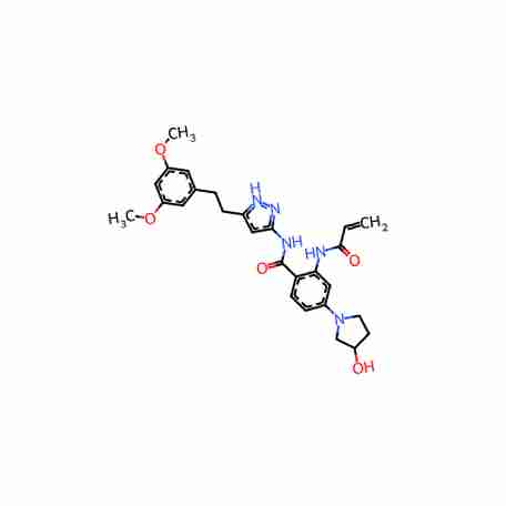 C=CC(=O)Nc1cc(N2CCC(O)C2)ccc1C(=O)Nc1cc(CCc2cc(OC)cc(OC)c2)[nH]n1